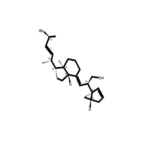 C[C@H](/C=C/[C@H](C)C(C)(C)C)[C@H]1CC[C@H]2/C(=C/[C@@H](CO)[C@@]34C=CC[C@@H]3C4)CCC[C@]12C